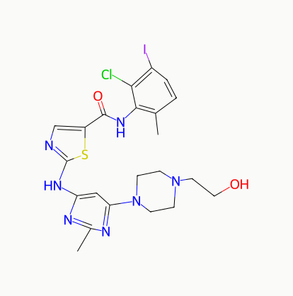 Cc1nc(Nc2ncc(C(=O)Nc3c(C)ccc(I)c3Cl)s2)cc(N2CCN(CCO)CC2)n1